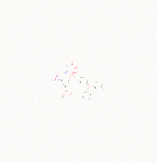 COC(=O)C/C(=C/c1ccc(C(=O)OC(C)(C)C)cc1[N+](=O)[O-])C(=O)OC.c1ccc(P(c2ccccc2)c2ccccc2)cc1